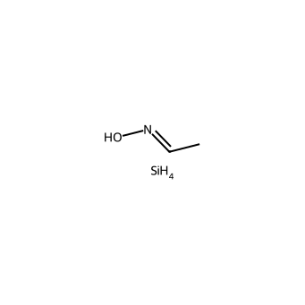 CC=NO.[SiH4]